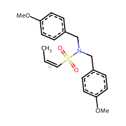 C/C=C\S(=O)(=O)N(Cc1ccc(OC)cc1)Cc1ccc(OC)cc1